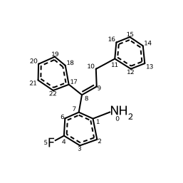 Nc1ccc(F)cc1C(=CCc1ccccc1)c1ccccc1